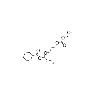 CC(OCCCOC(=O)OC[O])OC(=O)C1CCCCC1